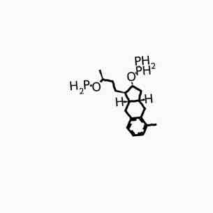 Cc1cccc2c1C[C@H]1C[C@@H](OPP)[C@H](CC[C@H](C)OP)[C@H]1C2